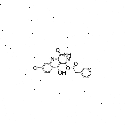 O=C(Cc1ccccc1)Oc1n[nH]c(=O)c2nc3cc(Cl)ccc3c(O)c12